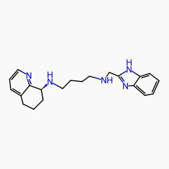 c1cnc2c(c1)CCC[C@@H]2NCCCCNCc1nc2ccccc2[nH]1